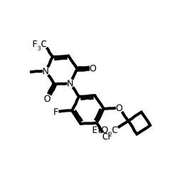 CCOC(=O)C1(Oc2cc(-n3c(=O)cc(C(F)(F)F)n(C)c3=O)c(F)cc2Cl)CCC1